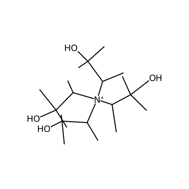 CC(C(C)(C)O)[N+](C(C)C(C)(C)O)(C(C)C(C)(C)O)C(C)C(C)(C)O